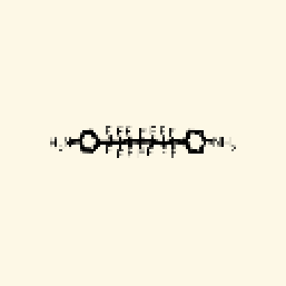 Nc1ccc(C(F)(F)C(F)(F)C(F)(F)C(F)(F)C(F)(F)C(F)(F)C(F)(F)c2ccc(N)cc2)cc1